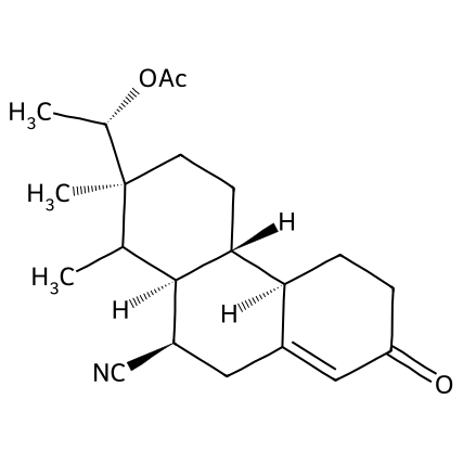 CC(=O)O[C@@H](C)[C@@]1(C)CC[C@H]2[C@H](C1C)[C@H](C#N)CC1=CC(=O)CC[C@@H]12